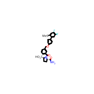 CSc1cc(F)c(F)cc1-c1ccc(OCc2cccc(C(=O)N3[C@H](C(N)=O)CC[C@H]3C(=O)O)c2)cc1